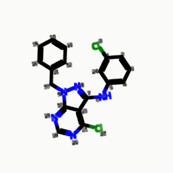 Clc1cccc(Nc2nn(Cc3ccccc3)c3ncnc(Cl)c23)c1